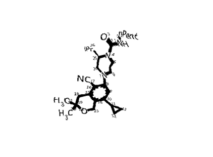 CCCCCNC(=O)N1CCN(c2cc(C3CC3)c3c(c2C#N)CC(C)(C)OC3)C[C@H]1C(C)C